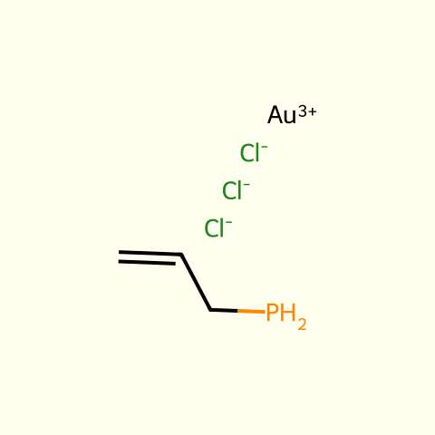 C=CCP.[Au+3].[Cl-].[Cl-].[Cl-]